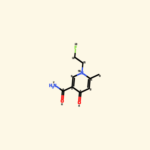 Cc1cc(=O)c(C(N)=O)cn1CCF